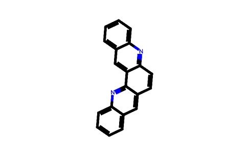 c1ccc2nc3ccc4cc5ccccc5nc4c3cc2c1